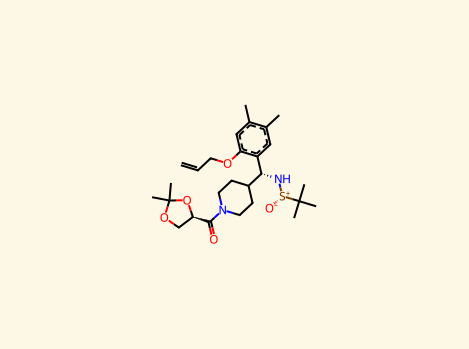 C=CCOc1cc(C)c(C)cc1[C@H](N[S@@+]([O-])C(C)(C)C)C1CCN(C(=O)[C@H]2COC(C)(C)O2)CC1